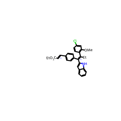 CCOC(=O)/C=C/c1ccc(/C(=C(/CC)c2ccc(Cl)cc2OC)c2cc3ccccc3[nH]2)cc1